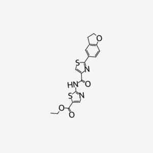 CCOC(=O)c1cnc(NC(=O)c2csc(-c3ccc4c(c3)CCO4)n2)s1